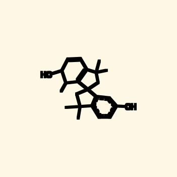 CC1C2=C(C=CC1O)C(C)(C)CC21CC(C)(C)c2ccc(O)cc21